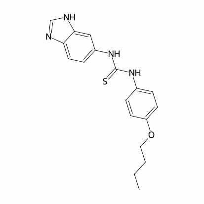 CCCCOc1ccc(NC(=S)Nc2ccc3nc[nH]c3c2)cc1